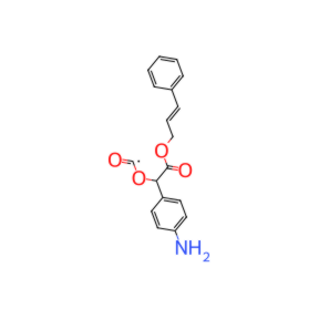 Nc1ccc(C(O[C]=O)C(=O)OCC=Cc2ccccc2)cc1